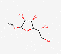 CCCCO[C@@H]1O[C@H]([C@H](O)CO)[C@H](O)[C@@H]1O